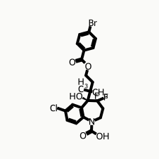 CC(C)(CCOC(=O)c1ccc(Br)cc1)[C@@]1(O)c2cc(Cl)ccc2N(C(=O)O)CCC1(F)F